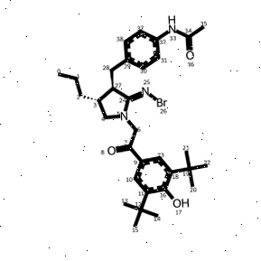 CCC[C@H]1CN(CC(=O)c2cc(C(C)(C)C)c(O)c(C(C)(C)C)c2)/C(=N\Br)[C@@H]1Cc1ccc(NC(C)=O)cc1